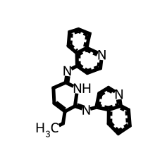 CCC1=CCC(=Nc2ccnc3ccccc23)NC1=Nc1ccnc2ccccc12